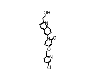 O=c1cc(OCc2ccc(Cl)cn2)ccn1-c1ccc2nc(CCO)ccc2c1